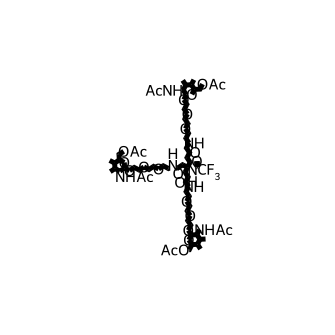 CC(=O)NC1C(OCCOCCOCCNCC(=O)CCC(CCC(=O)NCCOCCOCCOC2OC(COC(C)=O)C(C)C(C)C2NC(C)=O)(CC(=O)NCCOCCOCCOC2OC(COC(C)=O)C(C)C(C)C2NC(C)=O)NC(=O)C(F)(F)F)OC(COC(C)=O)C(C)C1C